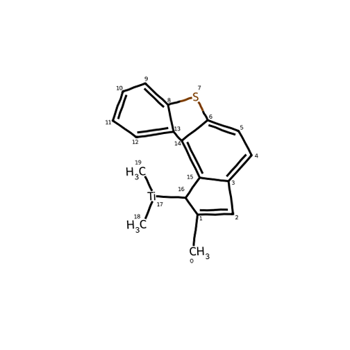 CC1=Cc2ccc3sc4ccccc4c3c2[CH]1[Ti]([CH3])[CH3]